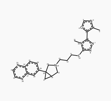 Cc1ncoc1-c1nnc(SCCCN2CC3CC3(c3ccc4nccnc4c3)C2)n1C